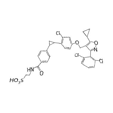 O=C(NCCS(=O)(=O)O)c1ccc(C2CC2c2ccc(OCc3c(-c4c(Cl)cccc4Cl)noc3C3CC3)cc2Cl)cc1